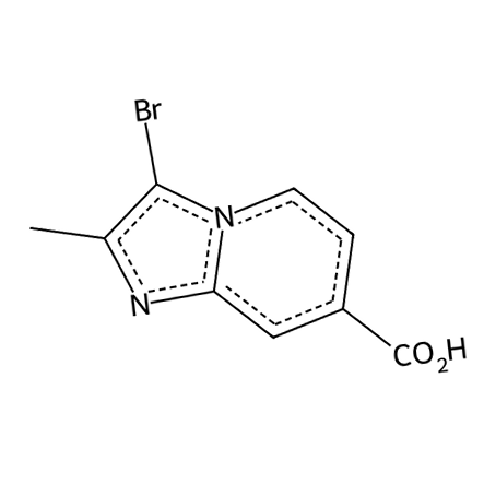 Cc1nc2cc(C(=O)O)ccn2c1Br